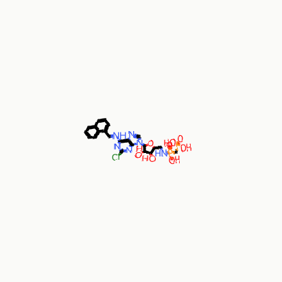 O=P(O)(O)CP(=O)(O)NCC1OC(n2cnc3c(NCc4cccc5ccccc45)nc(Cl)nc32)C(O)C1O